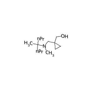 CCCC(C)(CCC)N(C)CC1(CO)CC1